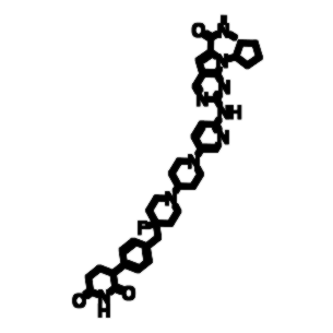 CN(C)C(=O)c1cc2cnc(Nc3ccc(N4CCC(N5CCC(F)(Cc6ccc(C7CCC(=O)NC7=O)cc6)CC5)CC4)cn3)nc2n1C1CCCC1